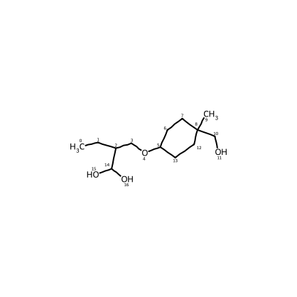 CCC(COC1CCC(C)(CO)CC1)C(O)O